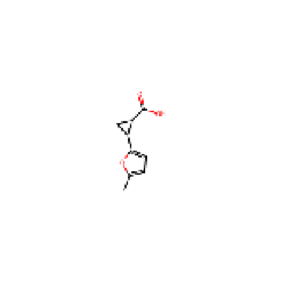 Cc1ccc(C2CC2C(=O)O)o1